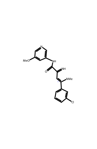 CN/C(=C\C(=N)C(=O)Nc1cncc(OC)c1)c1cccc(Cl)c1